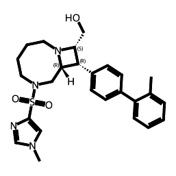 Cc1ccccc1-c1ccc([C@H]2[C@@H](CO)N3CCCCN(S(=O)(=O)c4cn(C)cn4)C[C@@H]23)cc1